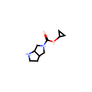 O=C(OC1CC1)N1CC2CCNC2C1